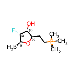 B[C@@H]1O[C@H](CCP(=C)(C)C)[C@@H](O)[C@H]1F